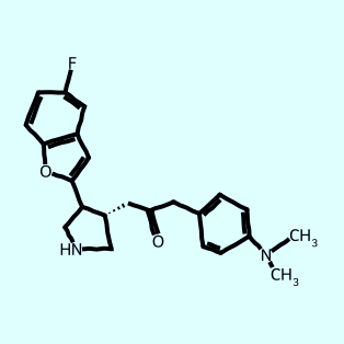 CN(C)c1ccc(CC(=O)C[C@@H]2CNCC2c2cc3cc(F)ccc3o2)cc1